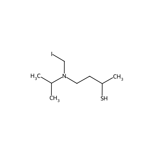 CC(S)CCN(CI)C(C)C